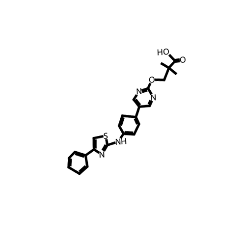 CC(C)(COc1ncc(-c2ccc(Nc3nc(-c4ccccc4)cs3)cc2)cn1)C(=O)O